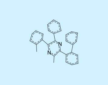 Cc1ccccc1-c1nc(C)c(-c2ccccc2-c2ccccc2)nc1-c1ccccc1